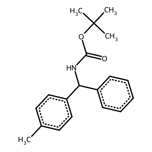 Cc1ccc(C(NC(=O)OC(C)(C)C)c2ccccc2)cc1